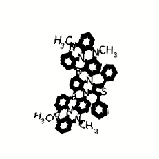 CN1c2cccc3c2N2c4c1cccc4N(C)c1ccc4c(c12)B3c1ccc2c3c1N4c1c(-c4ccccc4)sc(-c4ccccc4)c1N3c1ccc3c4c1B2c1cccc2c1N4c1c(cccc1N3C)N2C